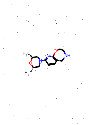 CC1CN(c2ccc3c(n2)OCCNC3)C[C@H](C)O1